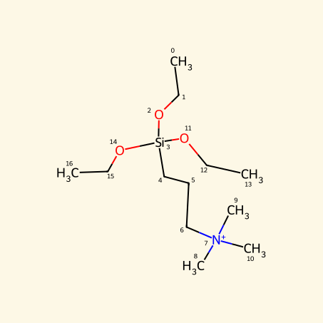 CCO[Si](CCC[N+](C)(C)C)(OCC)OCC